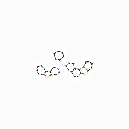 c1ccc(N(c2ccc3c(ccc4oc5ccccc5c43)c2)c2ccc3oc4ccccc4c3c2)cc1